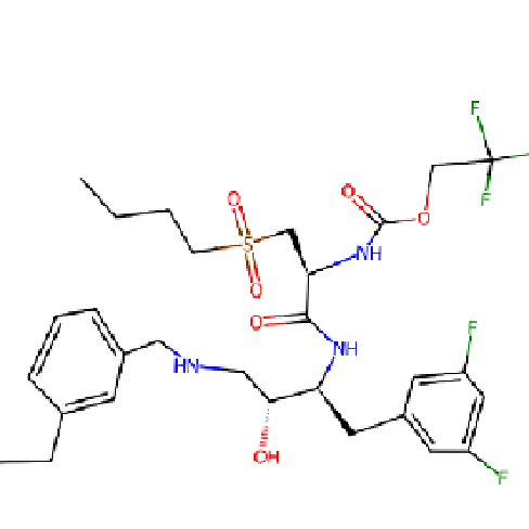 CCCCS(=O)(=O)C[C@@H](NC(=O)OCC(F)(F)F)C(=O)N[C@@H](Cc1cc(F)cc(F)c1)[C@H](O)CNCc1cccc(CC)c1